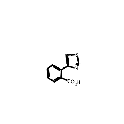 O=C(O)c1ccccc1-c1cs[c]n1